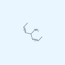 C/C=C\C([SiH2])/C=C\C